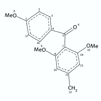 COc1ccc(C(=O)c2c(OC)cc(C)cc2OC)cc1